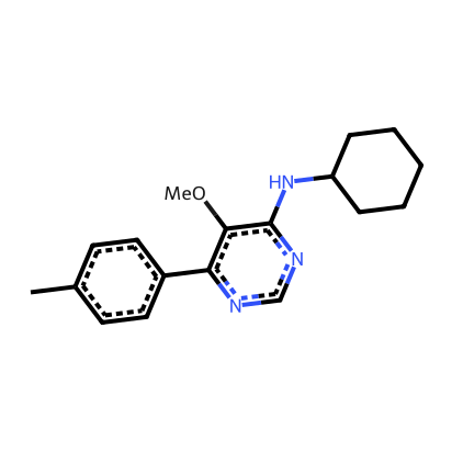 COc1c(NC2CCCCC2)ncnc1-c1ccc(C)cc1